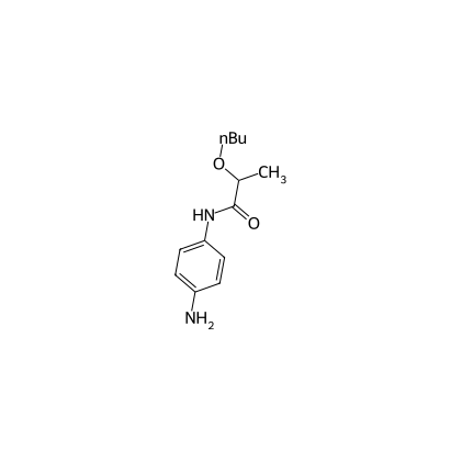 CCCCOC(C)C(=O)Nc1ccc(N)cc1